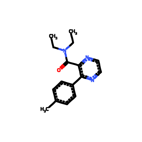 CCN(CC)C(=O)c1nccnc1-c1ccc(C)cc1